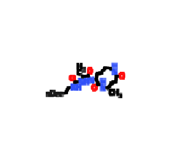 CCCCCCCCCCCCNC(=O)NC(C)C(=O)N[C@H]1/C=C/CCNC(=O)/C=C/[C@H](C)NC1=O